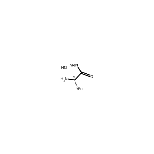 CNC(=O)[C@@H](N)C(C)(C)C.Cl